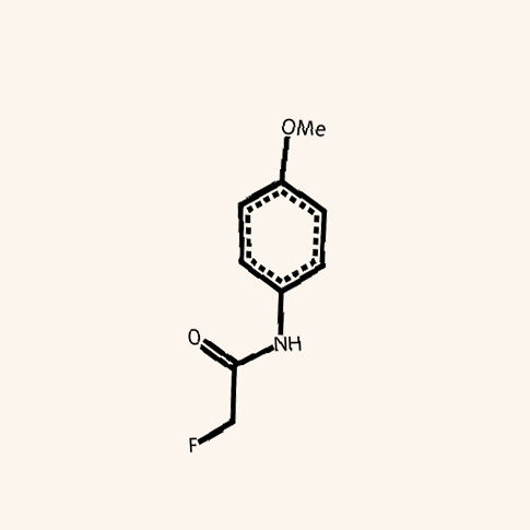 COc1ccc(NC(=O)CF)cc1